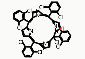 Clc1cccc(Cl)c1C1=C2C=CC(=N2)C(c2c(Cl)cccc2Cl)=c2ccc([nH]2)=C(c2c(Cl)cccc2Cl)C2=NC(Cl)(C=C2)C(Cl)(c2c(Cl)cccc2Cl)c2ccc1[nH]2